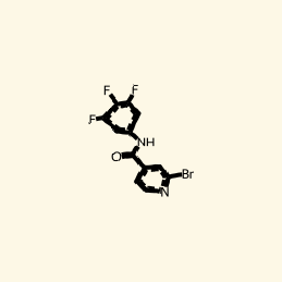 O=C(Nc1cc(F)c(F)c(F)c1)c1ccnc(Br)c1